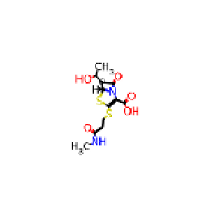 CNC(=O)CCSC1=C(C(=O)O)N2C(=O)[C@H](C(C)O)[C@H]2S1